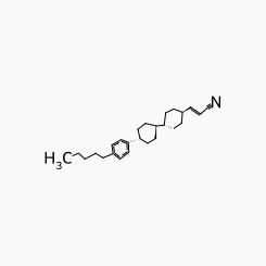 CCCCCc1ccc([C@H]2CC[C@H]([C@H]3CC[C@H](C=CC#N)CC3)CC2)cc1